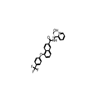 O=C(N[C@H](CO)c1ccccn1)c1ccc2c(Oc3ccc(C(F)(F)F)cc3)cccc2c1